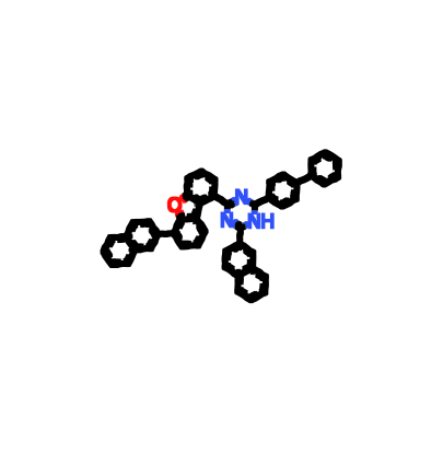 c1ccc(-c2ccc(C3N=C(c4cccc5oc6c(-c7ccc8ccccc8c7)cccc6c45)N=C(c4ccc5ccccc5c4)N3)cc2)cc1